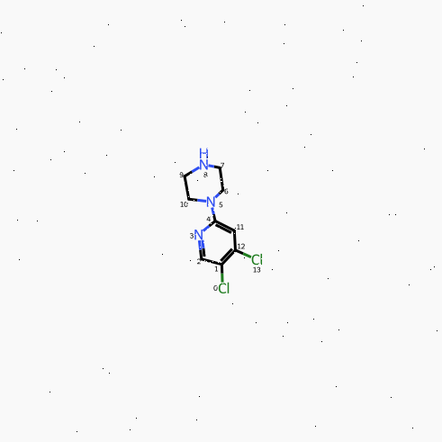 Clc1cnc(N2CCNCC2)cc1Cl